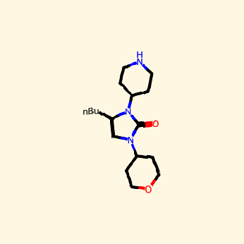 CCCCC1CN(C2CCOCC2)C(=O)N1C1CCNCC1